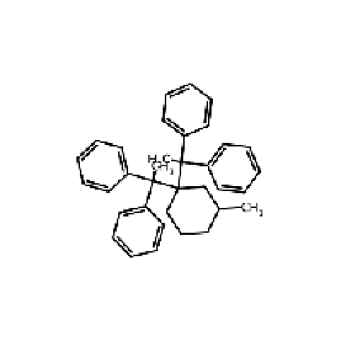 CC1CCCC(C(C)(c2ccccc2)c2ccccc2)(C(C)(c2ccccc2)c2ccccc2)C1